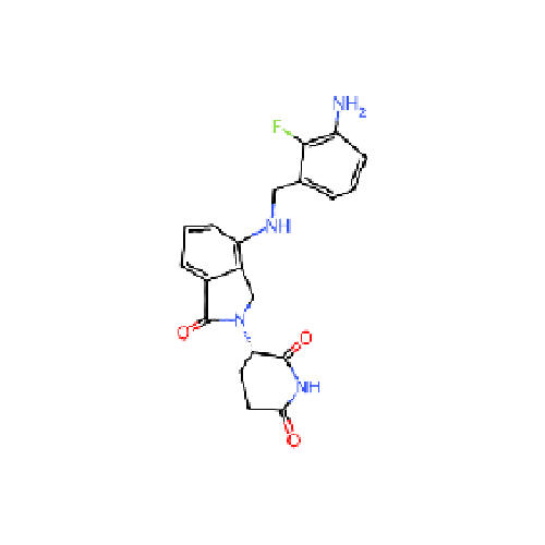 Nc1cccc(CNc2cccc3c2CN([C@H]2CCC(=O)NC2=O)C3=O)c1F